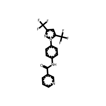 O=C(Nc1ccc(-n2nc(C(F)(F)F)cc2C(F)(F)F)cc1)c1cccnc1